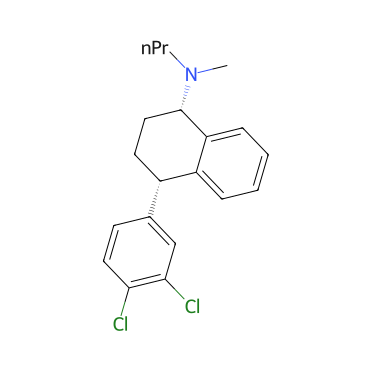 CCCN(C)[C@H]1CC[C@@H](c2ccc(Cl)c(Cl)c2)c2ccccc21